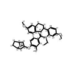 CCN(C(=O)c1ccc(OC2CC3CCC(C2)N3C)c(F)c1)c1cc(OC)ccc1C1CCc2cc(OC)ccc2C1